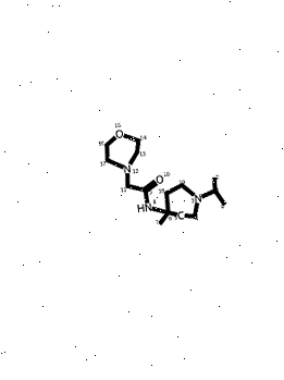 CC(C)N1CCC(C)(NC(=O)CN2CCOCC2)CC1